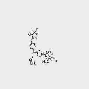 COCCC(c1ccc(CNC(=O)C(F)(F)F)cc1)N1CCN(C(=O)OC(C)(C)C)CC1